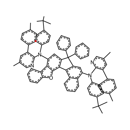 Cc1ccc(-c2cc(C)cnc2N(c2ccc(C(C)(C)C)cc2)c2cc3c(c4ccccc24)-c2c(cc(N(c4ccc(C(C)(C)C)cc4)c4ncc(C)cc4-c4ccc(C)cc4)c4c2oc2ccccc24)C3(c2ccccc2)c2ccccc2)cc1